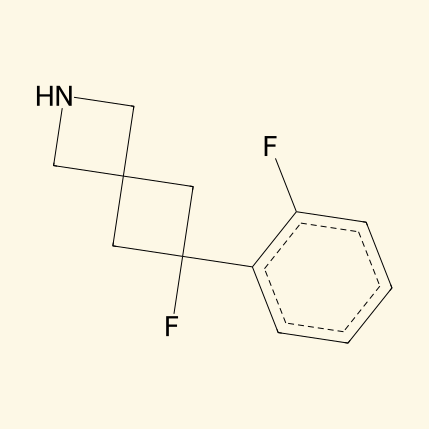 Fc1ccccc1C1(F)CC2(CNC2)C1